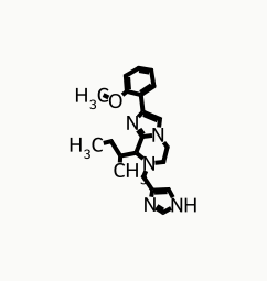 CCC(C)C1c2nc(-c3ccccc3OC)cn2CCN1Cc1c[nH]cn1